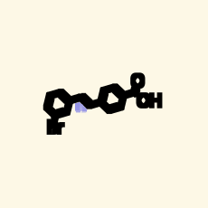 O=C(O)c1ccc(/C=C/c2cccc(Br)c2)cc1